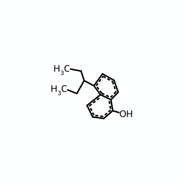 CCC(CC)c1cccc2c(O)cccc12